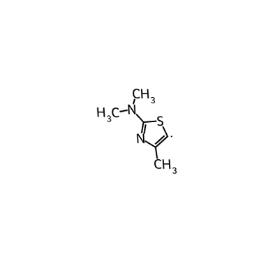 Cc1[c]sc(N(C)C)n1